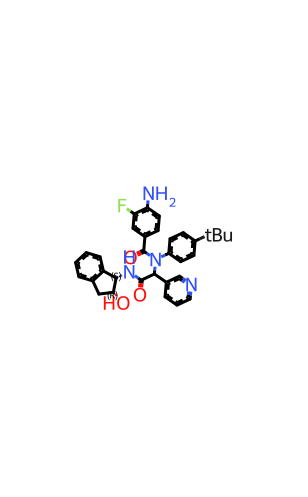 CC(C)(C)c1ccc(N(C(=O)c2ccc(N)c(F)c2)C(C(=O)N[C@H]2c3ccccc3C[C@H]2O)c2cccnc2)cc1